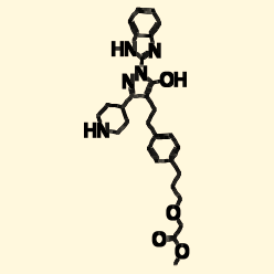 COC(=O)COCCCc1ccc(CCc2c(C3CCNCC3)nn(-c3nc4ccccc4[nH]3)c2O)cc1